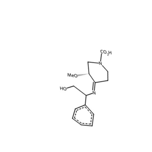 CO[C@@H]1CN(C(=O)O)CC/C1=N/C(CO)c1ccccc1